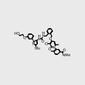 CNC(=O)c1ccc(C)c(-n2c(C)cc(OCc3ccccc3CNC(=O)Nc3cc(C(C)(C)C)nn3-c3cccc(OCCO)c3)c(Cl)c2=O)c1